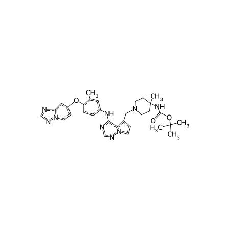 Cc1cc(Nc2ncnn3ccc(CN4CCC(C)(NC(=O)OC(C)(C)C)CC4)c23)ccc1Oc1ccn2ncnc2c1